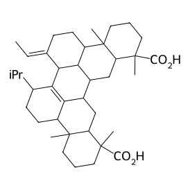 CC=C1CCC2C3C1C1=C4C(CC5C(C)(C(=O)O)CCCC5(C)C4CCC1C(C)C)C3CC1C(C)(C(=O)O)CCCC21C